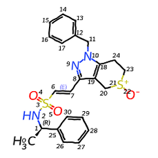 C[C@@H](NS(=O)(=O)/C=C/c1nn(Cc2ccccc2)c2c1C[S+]([O-])CC2)c1ccccc1